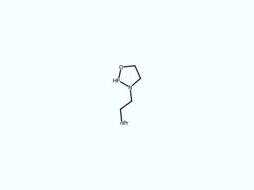 CCCCCN1CCOP1